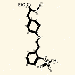 CCOC(=O)C(Cc1ccc(OCCc2ccccc2OS(C)(=O)=O)cc1)OCC